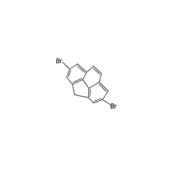 Brc1cc2c3c(ccc4cc(Br)cc(c43)C2)c1